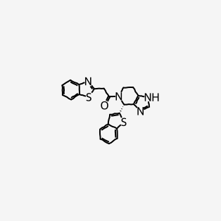 O=C(Cc1nc2ccccc2s1)N1CCc2[nH]cnc2[C@@H]1c1cc2ccccc2s1